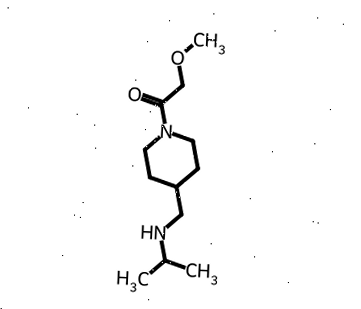 COCC(=O)N1CCC(CNC(C)C)CC1